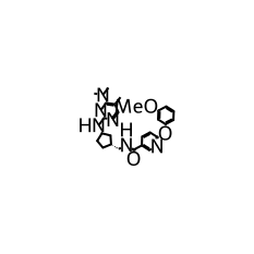 COc1cccc(Oc2ccc(C(=O)NC[C@@H]3CC[C@H](Nc4ncc(C)c(N(C)C)n4)C3)cn2)c1